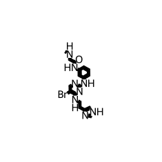 CNCC(=O)Nc1cccc(Nc2ncc(Br)c(NCCc3c[nH]cn3)n2)c1